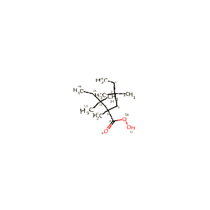 CCC(C)(C)CC(C)(C(=O)OO)C(C)(C)CC